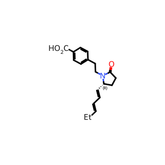 CCC=CC=C[C@H]1CCC(=O)N1CCc1ccc(C(=O)O)cc1